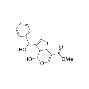 COC(=O)C1=COC(O)C2C(C(O)c3ccccc3)=CCC12